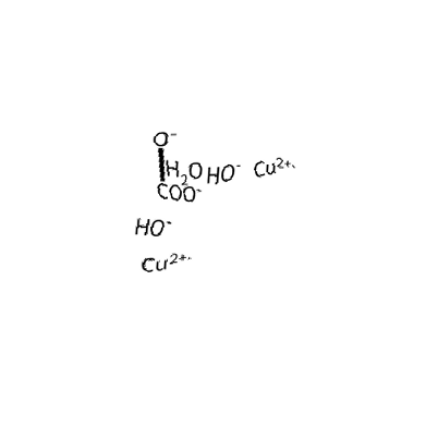 O.O=C([O-])[O-].[Cu+2].[Cu+2].[OH-].[OH-]